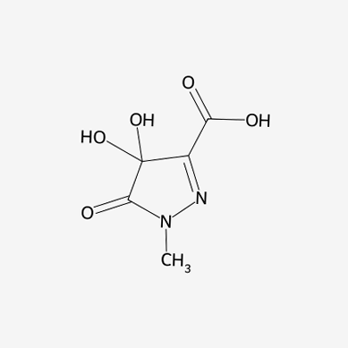 CN1N=C(C(=O)O)C(O)(O)C1=O